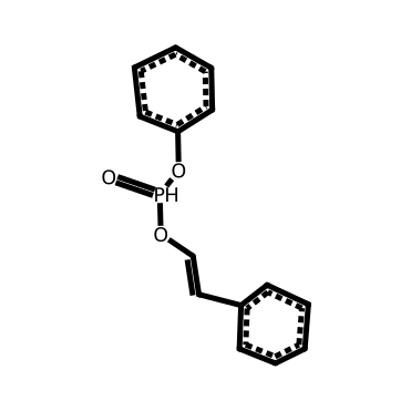 O=[PH](OC=Cc1ccccc1)Oc1ccccc1